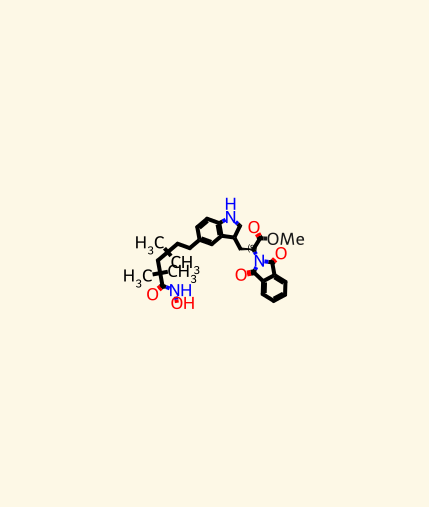 COC(=O)[C@H](CC1CNc2ccc(CCC(C)(C)CC(C)(C)C(=O)NO)cc21)N1C(=O)c2ccccc2C1=O